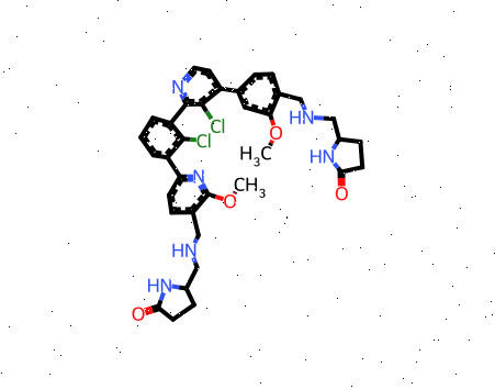 COc1cc(-c2ccnc(-c3cccc(-c4ccc(CNCC5CCC(=O)N5)c(OC)n4)c3Cl)c2Cl)ccc1CNCC1CCC(=O)N1